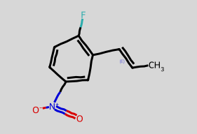 C/C=C/c1cc([N+](=O)[O-])ccc1F